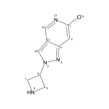 Clc1cc2nn(C3CNC3)cc2cn1